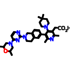 Cc1nc(C)c(-c2ccc3c(c2)CCN(c2nccc(N4CC(C)OC(C)C4)n2)C3)c(N2CCC(C)(C)CC2)c1CC(=O)O